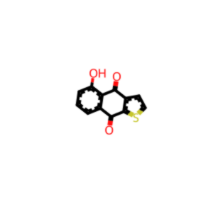 O=C1c2cccc(O)c2C(=O)c2ccsc21